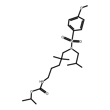 COc1ccc(S(=O)(=O)N(CC(C)C)CC(C)(C)CCCNC(=O)OC(C)C)cc1